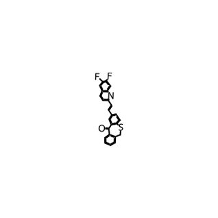 O=C1c2ccccc2CSc2ccc(/C=C/c3ccc4cc(F)c(F)cc4n3)cc21